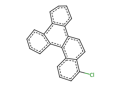 Clc1cccc2c1ccc1c3ccccc3c3ccccc3c21